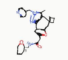 Cc1c2c(nn1Cc1ccncc1)-c1cc(C(=O)NC[C@@H]3CCCO3)oc1CC21CCC1